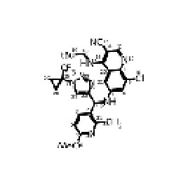 COc1ccc(C(Nc2cc(Cl)c3ncc(C#N)c(NCC(C)(C)C)c3c2)c2cn(C3(C(F)(F)F)CC3)nn2)c(C)n1